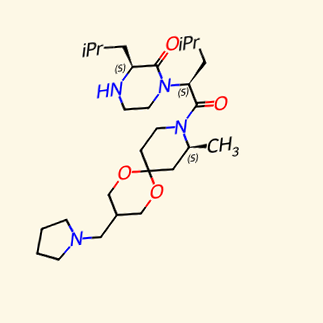 CC(C)C[C@@H]1NCCN([C@@H](CC(C)C)C(=O)N2CCC3(C[C@@H]2C)OCC(CN2CCCC2)CO3)C1=O